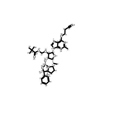 CC[C@H]1O[C@@H](n2cnc3c(OCCC#N)nc(C)nc32)C(OCOC(=O)C(C)(C)C)[C@H]1O[P@@]1O[C@](C)(c2ccccc2)[C@@H]2CCCN21